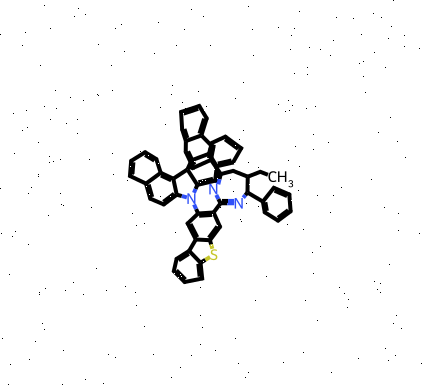 CCC1CC(c2ccc3ccccc3c2)=NC(c2cc3sc4ccccc4c3cc2-n2c3cc4ccccc4cc3c3c4ccccc4ccc32)=NC1c1ccccc1